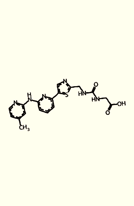 Cc1ccnc(Nc2cccc(-c3cnc(CNC(=O)NCC(=O)O)s3)n2)c1